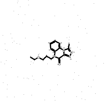 CCOCCCn1c(=O)c2nnc(C)n2c2ccccc21